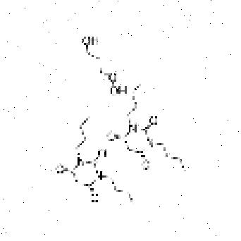 CCCCN1C(=O)CC(=O)N(CCCC)C1=O.CCCCN1C(=O)CC(=O)N(CCCC)C1=O.OCCCOO